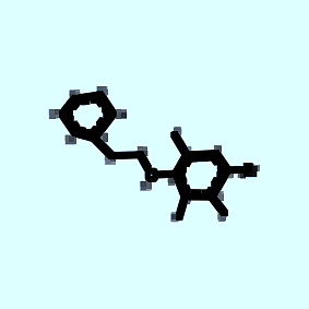 Cc1cc(Br)c(C)c(C)c1OCCc1ccccc1